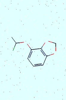 CCC(Br)Oc1cccc2c1OCO2